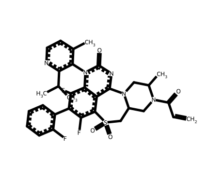 C=CC(=O)N1CC2CS(=O)(=O)c3c(F)c(-c4ccccc4F)c(F)c4c3c(nc(=O)n4-c3c(C)ccnc3C(C)C)N2CC1C